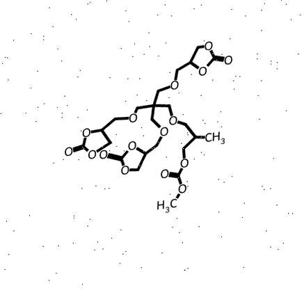 COC(=O)OCC(C)COCC(COCC1COC(=O)O1)(COCC1COC(=O)O1)COCC1COC(=O)O1